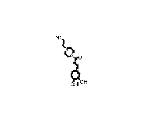 N#CCCN1CCN(C(=O)C=Cc2ccc(O)c(O)c2)CC1